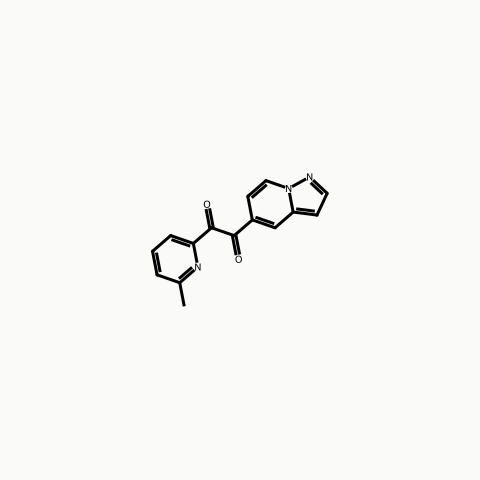 Cc1cccc(C(=O)C(=O)c2ccn3nccc3c2)n1